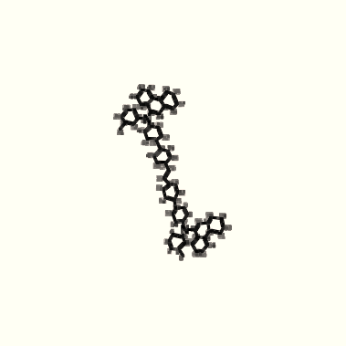 Cc1cccc(N(c2ccc(-c3ccc(/C=C/c4ccc(-c5ccc(N(c6cccc(C)c6)c6cc7ccccc7c7ccccc67)cc5)cc4)cc3)cc2)c2cc3ccccc3c3ccccc23)c1